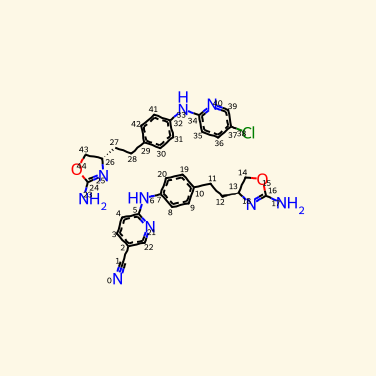 N#Cc1ccc(Nc2ccc(CC[C@H]3COC(N)=N3)cc2)nc1.NC1=N[C@@H](CCc2ccc(Nc3ccc(Cl)cn3)cc2)CO1